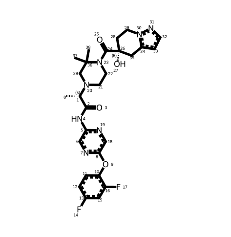 C[C@@H](C(=O)Nc1cnc(Oc2ccc(F)cc2F)cn1)N1CCN(C(=O)[C@@]2(O)CCn3nccc3C2)C(C)(C)C1